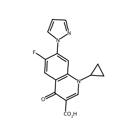 O=C(O)c1cn(C2CC2)c2cc(-n3cccn3)c(F)cc2c1=O